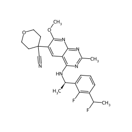 COc1nc2nc(C)nc(N[C@H](C)c3cccc(C(C)F)c3F)c2cc1C1(C#N)CCOCC1